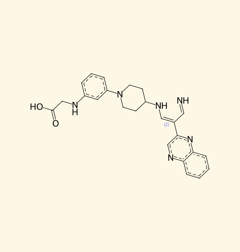 N=C/C(=C\NC1CCN(c2cccc(NCC(=O)O)c2)CC1)c1cnc2ccccc2n1